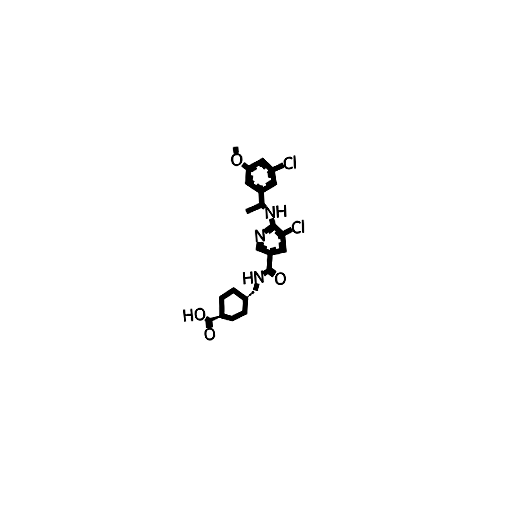 COc1cc(Cl)cc(C(C)Nc2ncc(C(=O)NC[C@H]3CC[C@H](C(=O)O)CC3)cc2Cl)c1